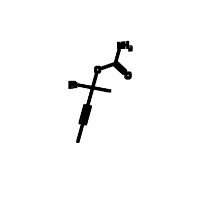 CC#CC(C)(CC)OC(N)=O